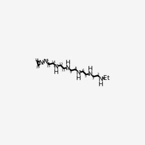 CCNCCNCCNCCNCCNCC=NN1CC1